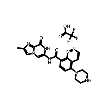 Cc1cn2cc(NC(=O)c3ccc(N4CCNCC4)c4ccnnc34)[nH]c(=O)c2n1.O=C(O)C(F)(F)F